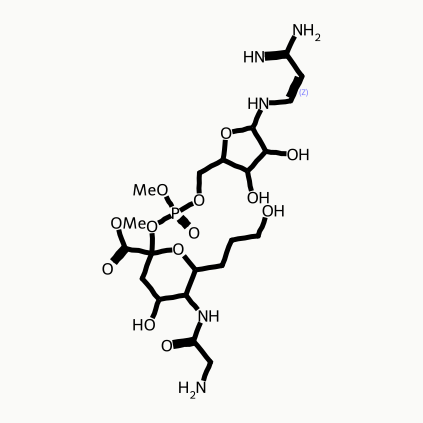 COC(=O)C1(OP(=O)(OC)OCC2OC(N/C=C\C(=N)N)C(O)C2O)CC(O)C(NC(=O)CN)C(CCCO)O1